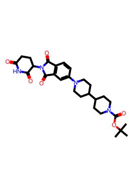 CC(C)(C)OC(=O)N1CCC(C2CCN(c3ccc4c(c3)C(=O)N(C3CCC(=O)NC3=O)C4=O)CC2)CC1